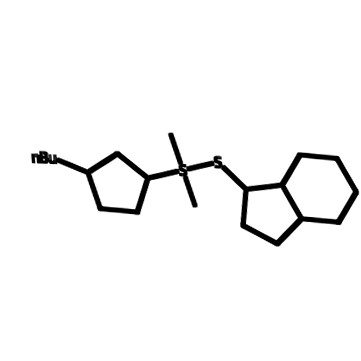 CCCCC1CCC(S(C)(C)SC2CCC3CCCCC32)C1